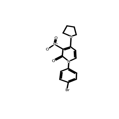 O=c1c([N+](=O)[O-])c(N2CCCC2)ccn1-c1ccc(Br)cc1